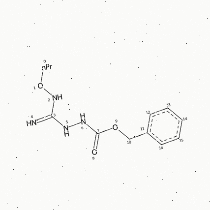 CCCONC(=N)NNC(=O)OCc1ccccc1